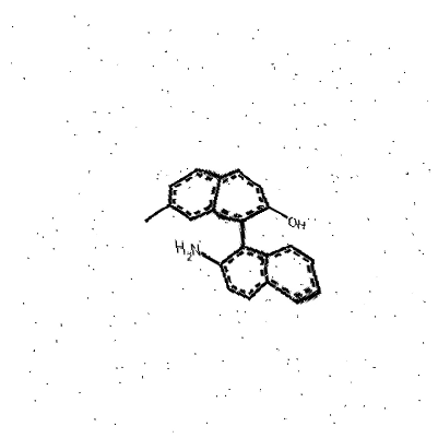 Cc1ccc2ccc(O)c(-c3c(N)ccc4ccccc34)c2c1